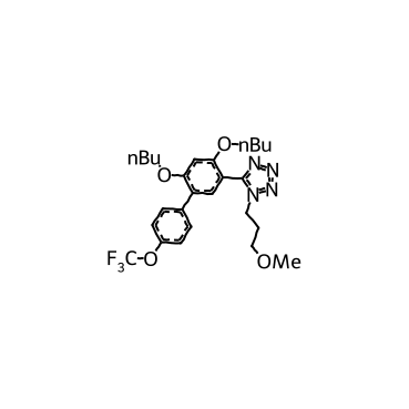 CCCCOc1cc(OCCCC)c(-c2nnnn2CCCOC)cc1-c1ccc(OC(F)(F)F)cc1